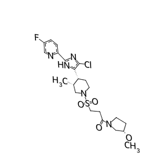 CO[C@H]1CCN(C(=O)CCS(=O)(=O)N2CC[C@@H](c3[nH]c(-c4ccc(F)cn4)nc3Cl)[C@@H](C)C2)C1